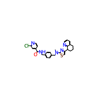 CN(Cc1ccc(CNC(=O)c2ccnc(Cl)c2)cc1)c1nc(C2CCCc3cccnc32)cs1